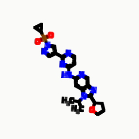 CC(C)n1c(C2CCCO2)nc2cnc(Nc3ccnc(-c4cnn(S(=O)(=O)C5CC5)c4)n3)cc21